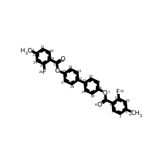 Cc1ccc(C(=O)Oc2ccc(-c3ccc(OC(=O)c4ccc(C)cc4F)cc3)cc2)c(F)c1